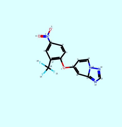 O=[N+]([O-])c1ccc(Oc2ccn3ncnc3c2)c(C(F)(F)F)c1